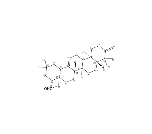 C=C1CC[C@]2(C)C3CC=C4C5CC(C)(C)CC[C@]5(CC=O)CC[C@@]4(C)[C@]3(C)CC[C@H]2C1(C)C